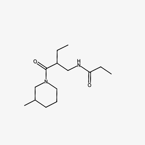 CCC(=O)NCC(CC)C(=O)N1CCCC(C)C1